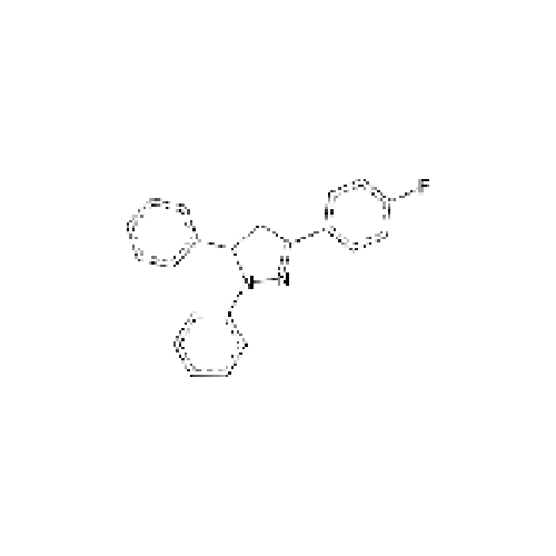 Fc1ccc(C2=NN(c3ccccc3)C(c3ccccc3)C2)cc1